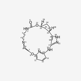 O=C1NCCN2CC(C2)Oc2cccc(n2)Nc2cc([nH]n2)[C@H]2CC[C@H](C2)O1